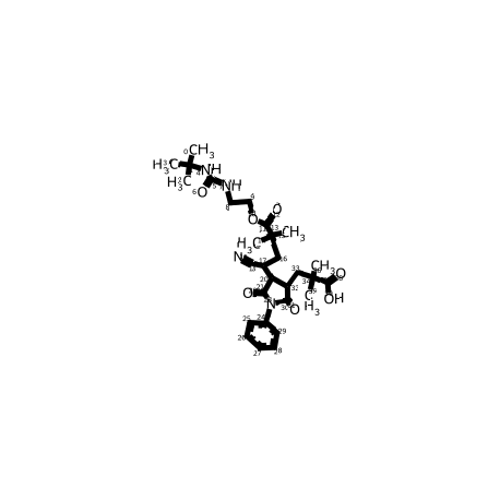 CC(C)(C)NC(=O)NCCOC(=O)C(C)(C)CC(C#N)C1C(=O)N(c2ccccc2)C(=O)C1CC(C)(C)C(=O)O